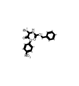 CCC(C)C(NC(=O)OCc1ccccc1)C(=O)Oc1ccc([N+](=O)[O-])cc1